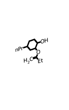 C=C(CC)OC1CC(CCC)CCC1O